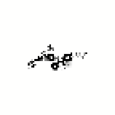 Cc1cc(N/C(=C2/C(=O)Nc3cc(C(=O)O)ccc32)c2ccccc2)ccc1C(=O)NOCCN1CCOCC1